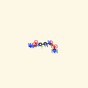 O=C(OC[C@@H]1CC(c2ccc(-c3ccc(N4C[C@H](Cn5ccnn5)OC4=O)cc3F)cn2)=NO1)c1cncnc1